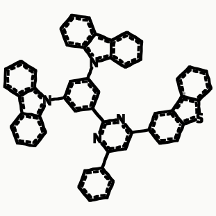 c1ccc(-c2cc(-c3ccc4sc5ccccc5c4c3)nc(-c3cc(-n4c5ccccc5c5ccccc54)cc(-n4c5ccccc5c5ccccc54)c3)n2)cc1